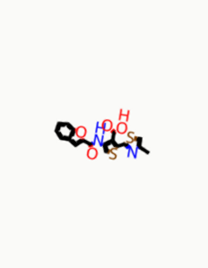 Cc1csc(-c2scc(NC(=O)c3cc4ccccc4o3)c2C(=O)O)n1